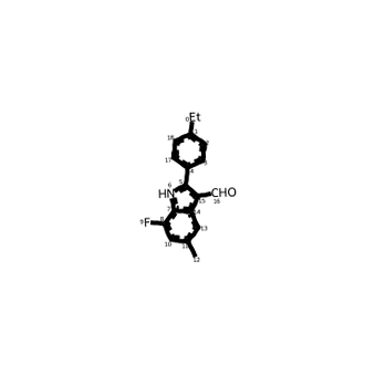 CCc1ccc(-c2[nH]c3c(F)cc(C)cc3c2C=O)cc1